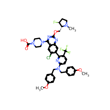 COc1ccc(CN(Cc2ccc(OC)cc2)c2ccc(C(F)(F)F)c(-c3cc4nc(OC[C@@H]5[C@@H](F)CCN5C)nc(N5CCN(C(=O)O)CC5)c4cc3Cl)n2)cc1